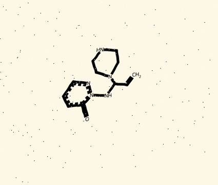 C=CC(Nn1ncccc1=O)N1CCNCC1